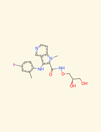 Cc1cc(I)ccc1Nc1c(C(=O)NOC[C@H](O)CO)n(C)c2ccncc12